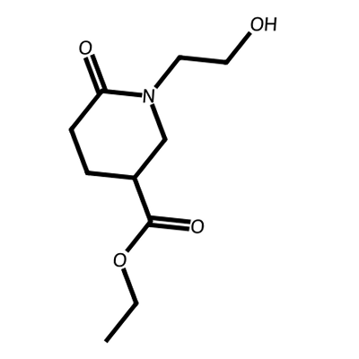 CCOC(=O)C1CCC(=O)N(CCO)C1